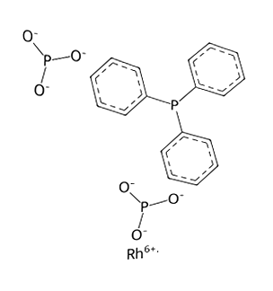 [O-]P([O-])[O-].[O-]P([O-])[O-].[Rh+6].c1ccc(P(c2ccccc2)c2ccccc2)cc1